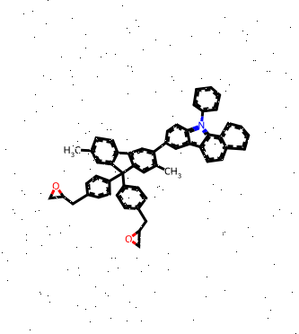 Cc1ccc2c(c1)C(c1ccc(CC3CO3)cc1)(c1ccc(CC3CO3)cc1)c1cc(C)c(-c3ccc4c(c3)c3ccc5ccccc5c3n4-c3ccccc3)cc1-2